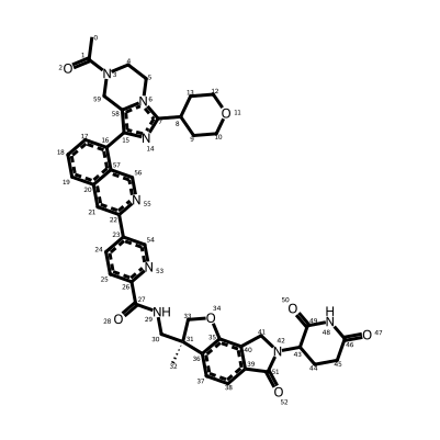 CC(=O)N1CCn2c(C3CCOCC3)nc(-c3cccc4cc(-c5ccc(C(=O)NC[C@@]6(C)COc7c6ccc6c7CN(C7CCC(=O)NC7=O)C6=O)nc5)ncc34)c2C1